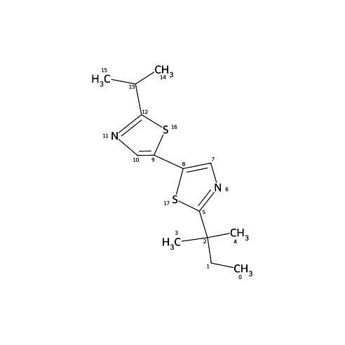 CCC(C)(C)c1ncc(-c2cnc(C(C)C)s2)s1